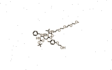 COCCOCCOCCOCCNC(=O)[C@@H](NC(=O)[C@H](Cc1ccc(OCCO)cc1)C[C@H](O)[C@H](Cc1ccccc1)NC(=O)OC(C)(C)C)C(C)C